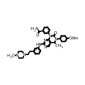 COc1ccc(N2C(=O)N(c3cccc(C(N)=O)c3)c3nc(Nc4cccc(CCN5CCN(C)CC5)c4)ncc3C2C)cc1